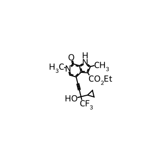 CCOC(=O)c1c(C)[nH]c2c(=O)n(C)cc(C#CC(O)(C3CC3)C(F)(F)F)c12